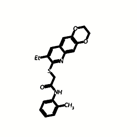 CCc1cc2cc3c(cc2nc1SCC(=O)Nc1ccccc1C)OCCO3